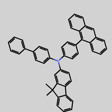 CC1(C)c2ccccc2-c2ccc(N(c3ccc(-c4ccccc4)cc3)c3ccc(-c4c5ccccc5cc5ccccc45)cc3)cc21